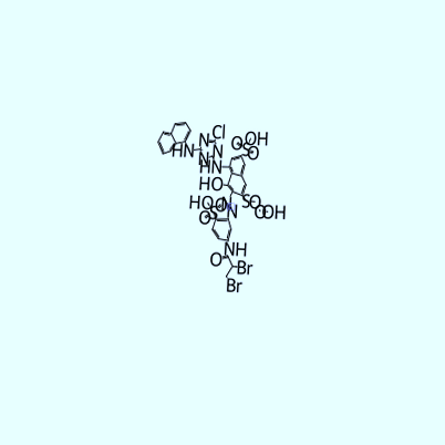 O=C(Nc1ccc(S(=O)(=O)O)c(/N=N/c2c(SOOO)cc3cc(S(=O)(=O)O)cc(Nc4nc(Cl)nc(Nc5cccc6ccccc56)n4)c3c2O)c1)C(Br)CBr